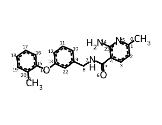 Cc1ccc(C(=O)NCc2cccc(Oc3ccccc3C)c2)c(N)n1